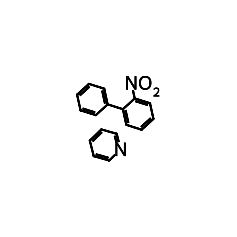 O=[N+]([O-])c1ccccc1-c1ccccc1.c1ccncc1